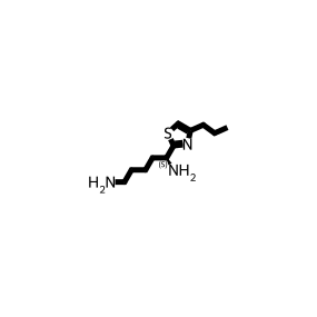 CCCc1csc([C@@H](N)CCCCN)n1